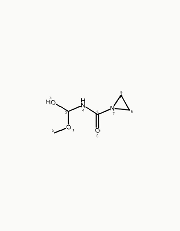 COC(O)NC(=O)N1CC1